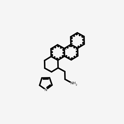 C1=CCN=C1.NCCC1CCCc2ccc3c(ccc4ccccc43)c21